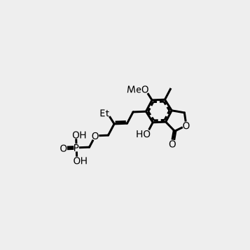 CC/C(=C\Cc1c(O)c2c(c(C)c1OC)COC2=O)COCP(=O)(O)O